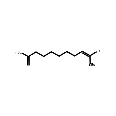 C=C(CCCC)CCCCCCC=C(CC)CCCC